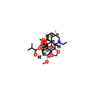 CCN1C[C@]2(C)CC[C@H](OC)[C@@]34[C@H]1C1(OCO[C@@]15C[C@H](OC)[C@H]1C[C@]3(O)[C@@H]5C1OC(=O)C(C)C)[C@@H](OC(C)=O)[C@H]24